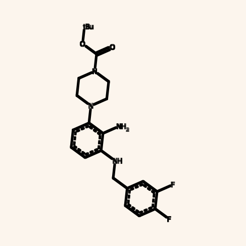 CC(C)(C)OC(=O)N1CCN(c2cccc(NCc3ccc(F)c(F)c3)c2N)CC1